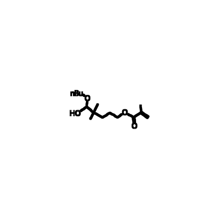 C=C(C)C(=O)OCCCC(C)(C)C(O)OCCCC